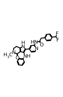 CN1CCc2[nH]c(-c3ccnc(NC(=O)Cc4ccc(C(F)F)cc4)c3)c(Nc3ccccc3)c2C1=O